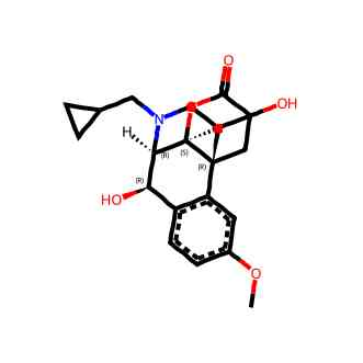 COc1ccc2c(c1)[C@]13CCN(CC4CC4)[C@H]([C@@H]2O)[C@]12CCC(O)(C3)C(=O)O2